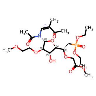 CCOP(=O)(C[C@H](OCC(=O)OC)[C@H]1O[C@@H](N(/C=C(/C)C(C)=O)C(C)=O)[C@H](OCCOC)[C@@H]1O)OCC